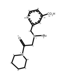 CCCCN(CC(=O)N1CCCCC1)Cc1cc(C(=O)O)ccn1